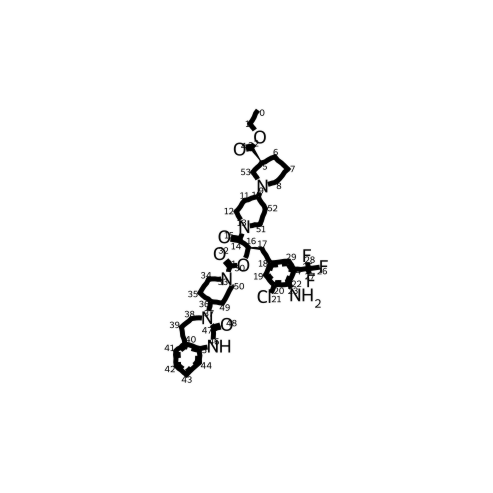 CCOC(=O)[C@H]1CCCN(C2CCN(C(=O)[C@@H](Cc3cc(Cl)c(N)c(C(F)(F)F)c3)OC(=O)N3CCC(N4CCc5ccccc5NC4=O)CC3)CC2)C1